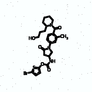 Cc1cc(N2CC(NC(=O)Oc3ccc(Br)s3)CC2=O)ccc1C(=O)N1CCCCC1CCCO